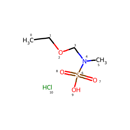 CCOCN(C)S(=O)(=O)O.Cl